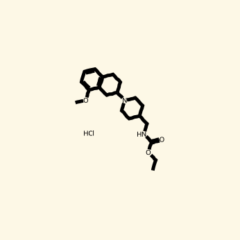 CCOC(=O)NCC1CCN(C2CCc3cccc(OC)c3C2)CC1.Cl